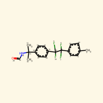 Cc1ccc(C(F)(F)C(F)(F)c2ccc(C(C)(C)NC=O)cc2)cc1